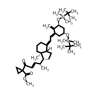 C=C1/C(=C/C=C2\CCC[C@]3(C)[C@@H]([C@H](C)/C=C/C(=O)C4(C(=O)OC)CC4)CC[C@@H]23)C[C@@H](O[Si](C)(C)C(C)(C)C)C[C@@H]1O[Si](C)(C)C(C)(C)C